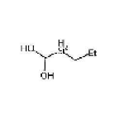 [CH2]CC[SiH2]C(O)O